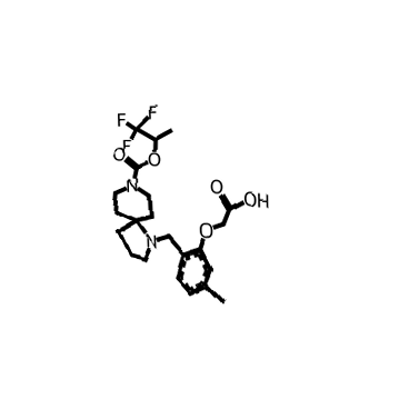 Cc1ccc(CN2CCCC23CCN(C(=O)OC(C)C(F)(F)F)CC3)c(OCC(=O)O)c1